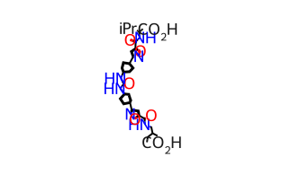 CC(CNC(=O)c1cc(-c2ccc(NC(=O)Nc3ccc(-c4cc(C(=O)NC(C(=O)O)C(C)C)on4)cc3)cc2)no1)CC(=O)O